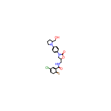 O=C(NCC1CN(c2ccc(N3CCCC3CO)cc2)C(=O)O1)C1=CC(Cl)=CCC1=S